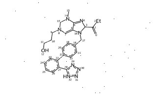 C=C(CC)C1N=C2C(=CN(CCCO)CN2C)N1Cc1ccc(-c2ccccc2-c2nnn[nH]2)cc1